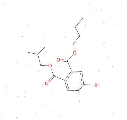 CCCCOC(=O)c1cc(Br)c(C)cc1C(=O)OCC(C)C